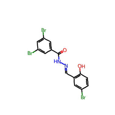 O=C(NN=Cc1cc(Br)ccc1O)c1cc(Br)cc(Br)c1